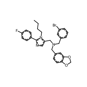 CCCCn1c(CN(Cc2cccc(Br)c2)Cc2ccc3c(c2)OCO3)cnc1-c1ccc(F)cc1